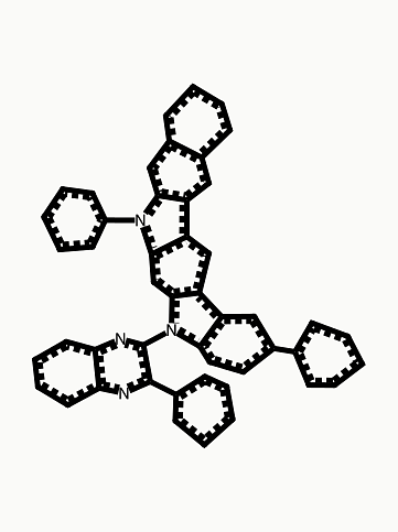 c1ccc(-c2ccc3c(c2)c2cc4c5cc6ccccc6cc5n(-c5ccccc5)c4cc2n3-c2nc3ccccc3nc2-c2ccccc2)cc1